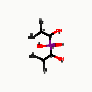 CCCCC(CC)C(O)P(=O)(O)C(O)C(CC)CCCC